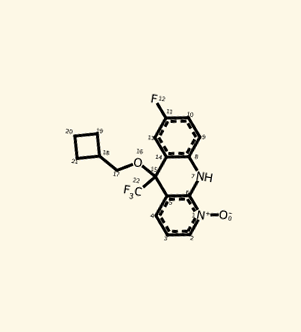 [O-][n+]1cccc2c1Nc1ccc(F)cc1C2(OCC1CCC1)C(F)(F)F